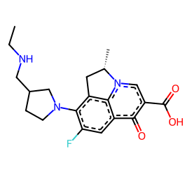 CCNCC1CCN(c2c(F)cc3c(=O)c(C(=O)O)cn4c3c2C[C@@H]4C)C1